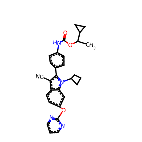 CC(OC(=O)Nc1ccc(-c2c(C#N)c3ccc(Oc4ncccn4)cc3n2C2CCC2)cc1)C1CC1